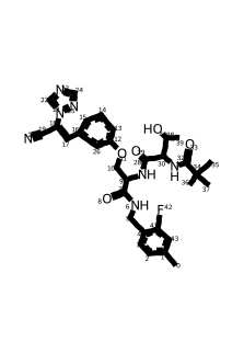 Cc1ccc(CNC(=O)C(COc2cccc(C=C(C#N)n3cncn3)c2)NC(=O)C(NC(=O)C(C)(C)C)C(C)O)c(F)c1